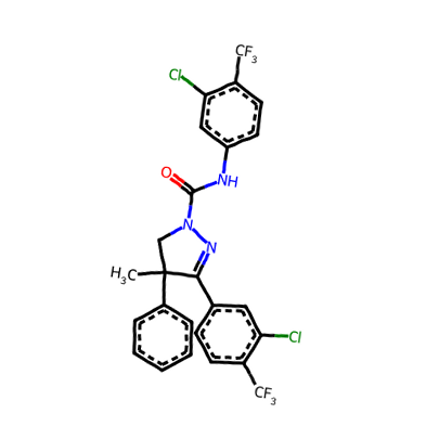 CC1(c2ccccc2)CN(C(=O)Nc2ccc(C(F)(F)F)c(Cl)c2)N=C1c1ccc(C(F)(F)F)c(Cl)c1